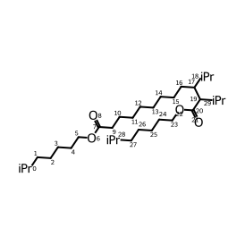 CC(C)CCCCCOC(=O)CCCCCCCCC(C(C)C)C(C(=O)OCCCCCC(C)C)C(C)C